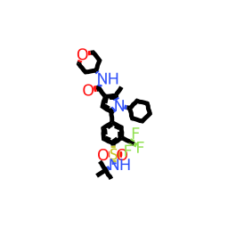 Cc1c(C(=O)NC2CCOCC2)cc(-c2ccc(S(=O)(=O)NC(C)(C)C)c(C(F)(F)F)c2)n1C1CCCCC1